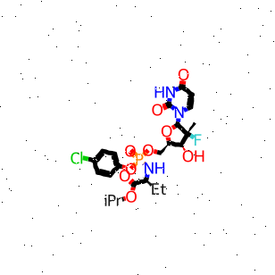 CC[C@H](NP(=O)(OC[C@H]1OC(n2ccc(=O)[nH]c2=O)[C@](C)(F)[C@@H]1O)Oc1ccc(Cl)cc1)C(=O)OC(C)C